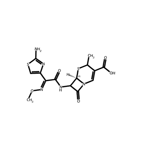 CON=C(C(=O)NC1C(=O)N2C=C(C(=O)O)C(C)S[C@H]12)c1csc(N)n1